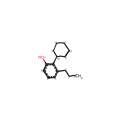 CCCc1cccc(O)c1C1CCCCC1